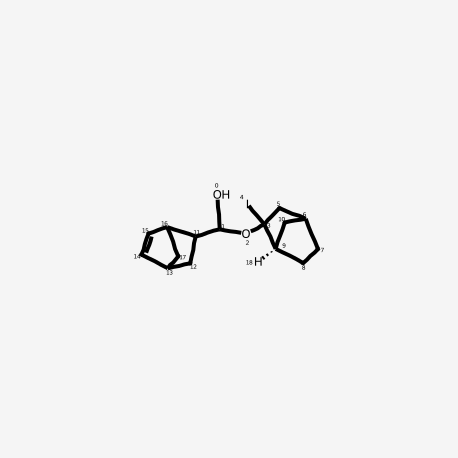 OC(OC1(I)CC2CC[C@@H]1C2)C1CC2C=CC1C2